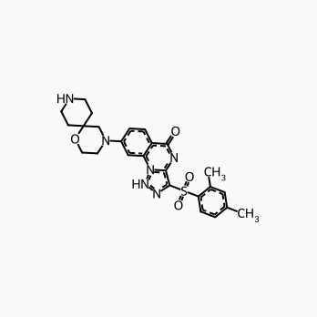 Cc1ccc(S(=O)(=O)c2n[nH]n3c2nc(=O)c2ccc(N4CCOC5(CCNCC5)C4)cc23)c(C)c1